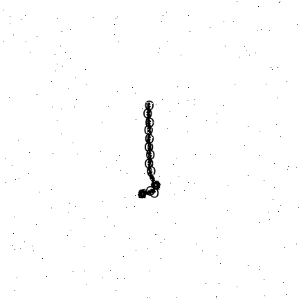 COCCOCCOCCOCCOCCOCCOCCOCCOCC#Cc1cccc(C(=O)OCc2ccccc2)c1